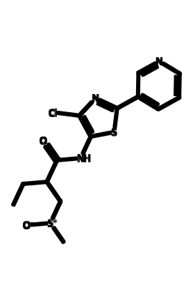 CCC(C[S+](C)[O-])C(=O)Nc1sc(-c2cccnc2)nc1Cl